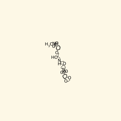 CNS(=O)(=O)c1cccc(OCC(O)CNC2COC3(CCN(S(=O)(=O)c4ccc5c(c4)OCCO5)CC3)C2)c1